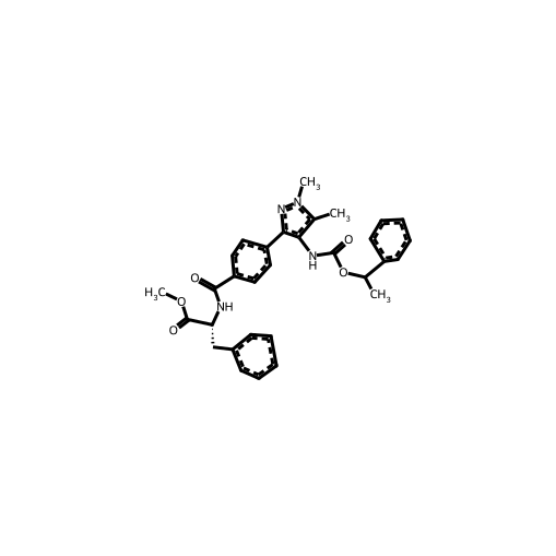 COC(=O)[C@@H](Cc1ccccc1)NC(=O)c1ccc(-c2nn(C)c(C)c2NC(=O)OC(C)c2ccccc2)cc1